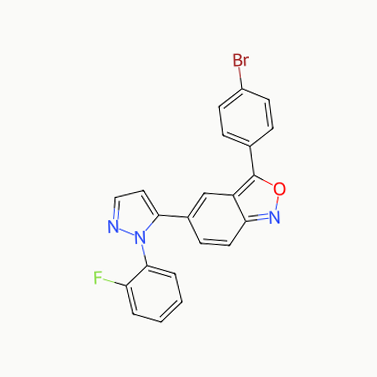 Fc1ccccc1-n1nccc1-c1ccc2noc(-c3ccc(Br)cc3)c2c1